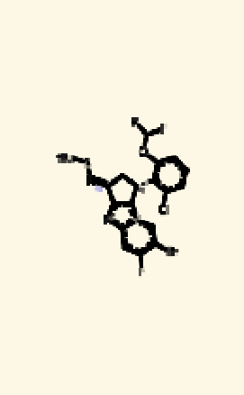 CC(C)(C)S/N=C1\C[C@H](c2c(Cl)cccc2OC(F)F)c2c1nc1cc(F)c(Br)cn21